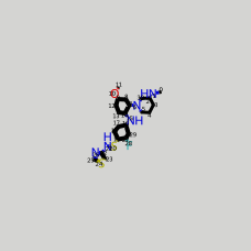 CN[C@@H]1CCCN(c2cc(OC)ccc2Nc2ccc(SNc3cscn3)c(F)c2)C1